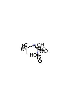 CS(=O)(=O)NC(=O)CCC/C=C\C[C@@H]1[C@@H](/C=C/[C@@H](O)c2cc3ccccc3s2)[C@H](OC2CCCCO2)C[C@@H]1O